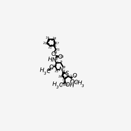 COC(=O)c1sc(N2CCC(NC(=O)OCc3ccccc3)C(OC)C2)cc1C(C)O